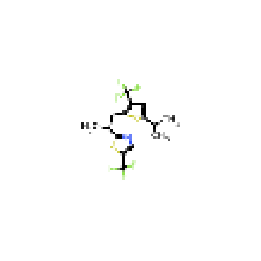 CC(C)c1cc(C(F)(F)F)c(CC(C)c2ncc(C(F)(F)F)s2)s1